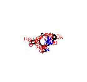 CC[C@H]1OC(=O)[C@H](C)[C@@H](O[C@H]2C[C@@](C)(OC)[C@@H](O)[C@H](C)O2)[C@H](C)[C@@H](O[C@@H]2O[C@H](C)C[C@H](N(C)C)[C@H]2OCCCNC(=O)c2cc(O)ccc2O)[C@](C)(O)C[C@@H](C)CN(C)[C@H](C)[C@@H](O)[C@]1(C)O